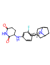 O=C1CCC(Nc2ccc(C3CC4CCC(C3)N4C(=O)O)c(F)c2)C(=O)N1